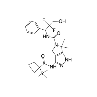 CC1(C)c2[nH]nc(NC(=O)C3(S(C)(C)C)CCC3)c2CN1C(=O)NC(c1ccccc1)C(F)(F)CO